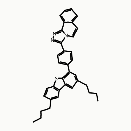 CCCCc1ccc2sc3c(-c4ccc(-c5nnc6c7ccccc7ccn56)cc4)cc(CCCC)cc3c2c1